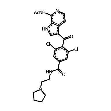 CC(=O)Nc1nccc2c(C(=O)c3c(Cl)cc(C(=O)NCCN4CCCC4)cc3Cl)c[nH]c12